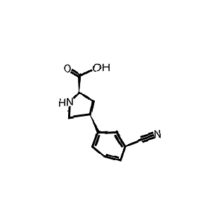 N#Cc1cccc([C@H]2CN[C@@H](C(=O)O)C2)c1